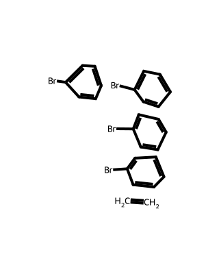 Brc1ccccc1.Brc1ccccc1.Brc1ccccc1.Brc1ccccc1.C=C